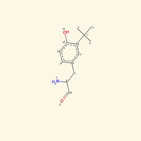 CC(C)(C)c1cc(CC(N)[C]=O)ccc1O